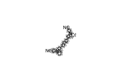 CC12CCCCC1(C)N(c1ccc(C#N)cc1)c1ccc(-c3ccc4c(c3)Cc3cc(-c5ccc6c(c5)C5(C)CCCCC5(C)N6c5ccc(C#N)cc5)ccc3-4)cc12